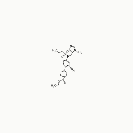 CCCS(=O)(=O)N(Cc1cncn1C)c1ccc(N2CCN(C(=O)OCC)CC2)c(C#N)c1